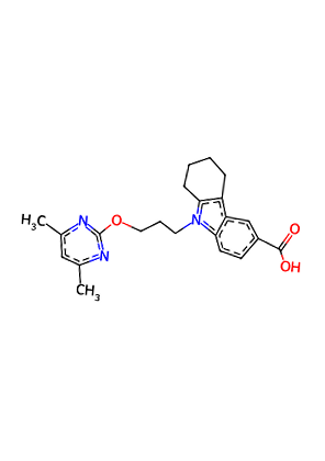 Cc1cc(C)nc(OCCCn2c3c(c4cc(C(=O)O)ccc42)CCCC3)n1